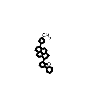 Cc1ccc(-c2ccc3ccc4c(-c5cccc6c5oc5ccccc56)ccc5ccc2c3c54)cc1